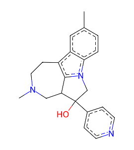 Cc1ccc2c(c1)c1c3n2CC(O)(c2ccncc2)C3CN(C)CC1